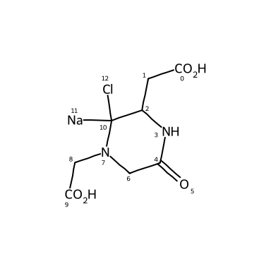 O=C(O)CC1NC(=O)CN(CC(=O)O)[C]1([Na])Cl